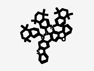 CC1(C)CCC(C)(C)c2cc(N3B4c5cc6c(cc5N(c5ccc7c(c5)C(C)(C)CCC7(C)C)c5c4c(cc4oc7ccccc7c54)-c4cc5c(cc43)sc3ccccc35)C(C)(C)CCC6(C)C)ccc21